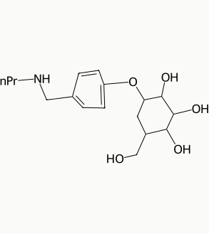 CCCNCc1ccc(OC2CC(CO)C(O)C(O)C2O)cc1